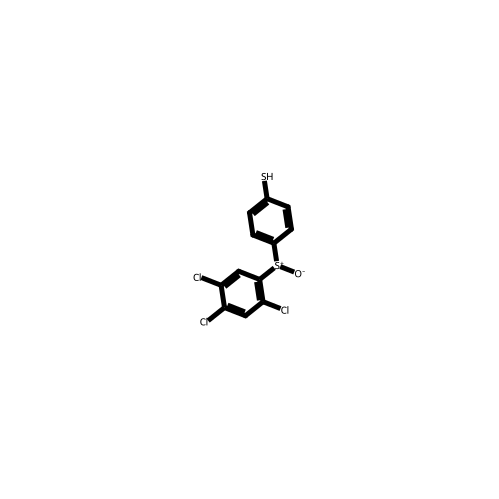 [O-][S+](c1ccc(S)cc1)c1cc(Cl)c(Cl)cc1Cl